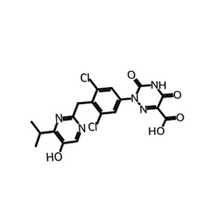 CC(C)c1nc(Cc2c(Cl)cc(-n3nc(C(=O)O)c(=O)[nH]c3=O)cc2Cl)ncc1O